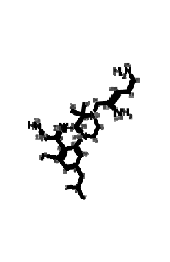 CC(C)Cc1cc(F)c(C(=N)N=N)c(N2CCN(C/C(N)=C/C=C\N)C(C)(C)C2)c1